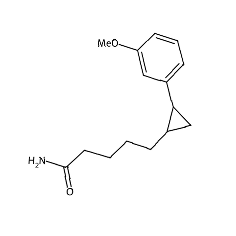 COc1cccc(C2CC2CCCCC(N)=O)c1